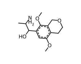 COc1cc(C(O)C(C)N)c(OC)c2c1CCOC2